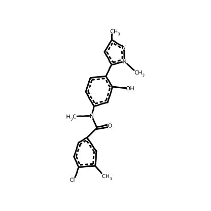 Cc1cc(-c2ccc(N(C)C(=O)c3ccc(Cl)c(C)c3)cc2O)n(C)n1